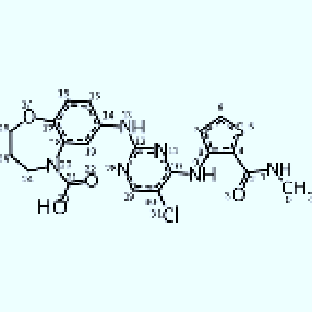 CNC(=O)c1sccc1Nc1nc(Nc2ccc3c(c2)N(C(=O)O)CCCO3)ncc1Cl